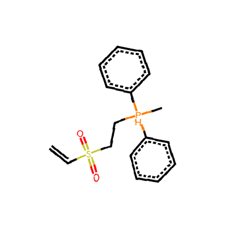 C=CS(=O)(=O)CC[PH](C)(c1ccccc1)c1ccccc1